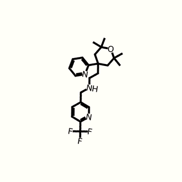 CC1(C)CC(CCNCc2ccc(C(F)(F)F)nc2)(c2ccccn2)CC(C)(C)O1